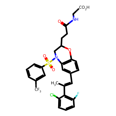 CC(=Cc1ccc2c(c1)N(S(=O)(=O)c1cccc(C(F)(F)F)c1)CC(CCC(=O)NCC(=O)O)O2)c1c(F)cccc1Cl